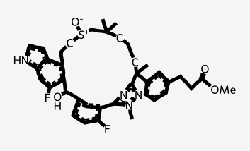 COC(=O)CCc1cccc(C2(C)CCCC(C)(C)C[S+]([O-])CCc3c(c(F)cc4[nH]ccc34)C(O)c3ccc(F)c(c3)-c3nc2nn3C)c1